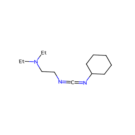 CCN(CC)CCN=C=NC1CCCCC1